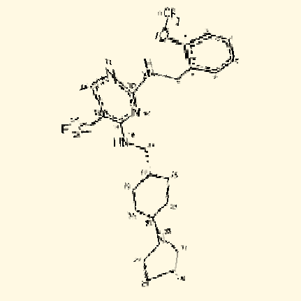 FC(F)(F)Oc1ccccc1CNc1ncc(C(F)(F)F)c(NC[C@H]2CC[C@H](N3CCCC3)CC2)n1